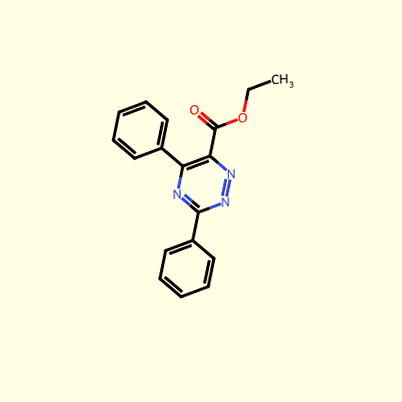 CCOC(=O)c1nnc(-c2ccccc2)nc1-c1ccccc1